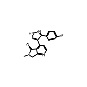 CN1Cc2nccc(-c3c[nH]nc3-c3ccc(F)cc3)c2C1=O